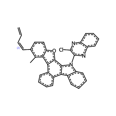 C=C/C=C\c1ccc2oc3c(c4ccccc4c4c5ccccc5n(-c5nc6ccccc6nc5Cl)c34)c2c1C